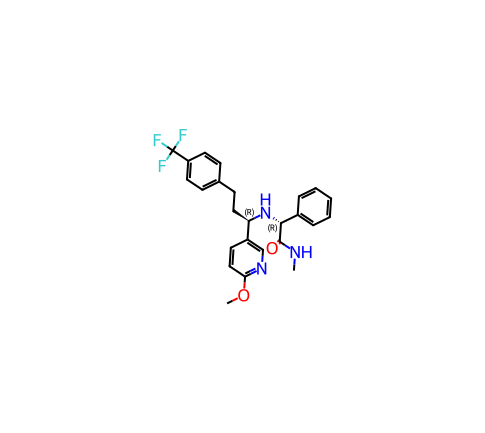 CNC(=O)[C@H](N[C@H](CCc1ccc(C(F)(F)F)cc1)c1ccc(OC)nc1)c1ccccc1